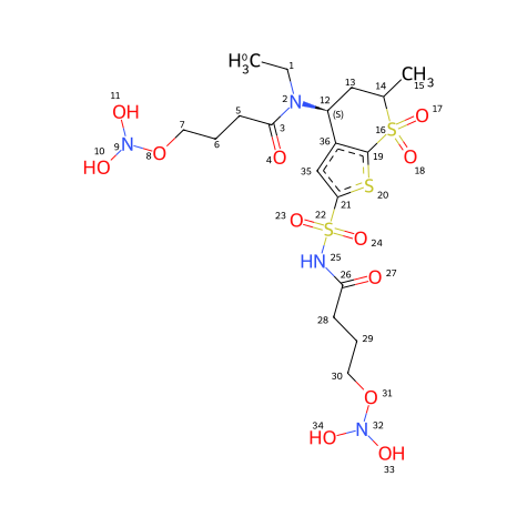 CCN(C(=O)CCCON(O)O)[C@H]1CC(C)S(=O)(=O)c2sc(S(=O)(=O)NC(=O)CCCON(O)O)cc21